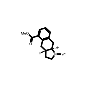 CCCN1CC[C@@H]2Cc3c(cccc3C(=O)OC)C[C@H]21